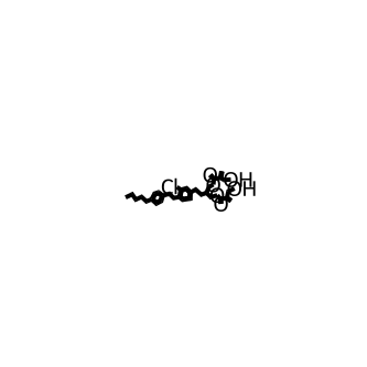 C=C(CO)C(=O)OCC(CCc1ccc(CCc2ccc(CCCCC)cc2)c(Cl)c1)COC(=O)C(=C)CO